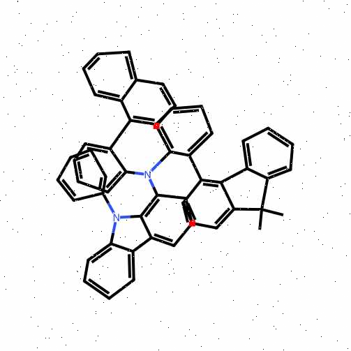 CC1(C)c2ccccc2-c2c(-c3ccccc3N(c3ccccc3-c3cccc4ccccc34)c3cccc4c5ccccc5n(-c5ccccc5)c34)cccc21